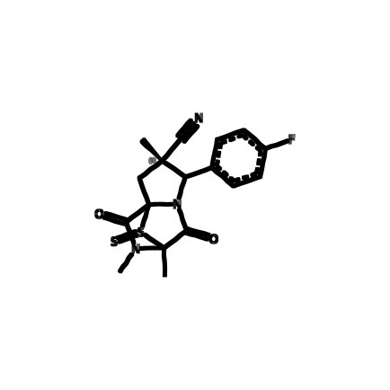 CN1C(=O)C23C[C@](C)(C#N)C(c4ccc(F)cc4)N2C(=O)C1(C)S3=S